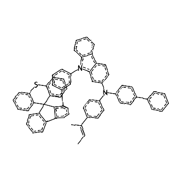 C/C=C(\C)c1ccc(N(c2ccc(-c3ccccc3)cc2)c2ccc3c4ccccc4n(-c4cccc(-c5cccc6c5C5(c7ccccc7Sc7ccccc75)c5ccccc5-6)c4)c3c2)cc1